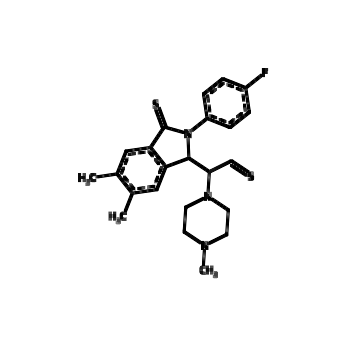 Cc1cc2c(cc1C)C(C(C=S)N1CCN(C)CC1)N(c1ccc(F)cc1)C2=S